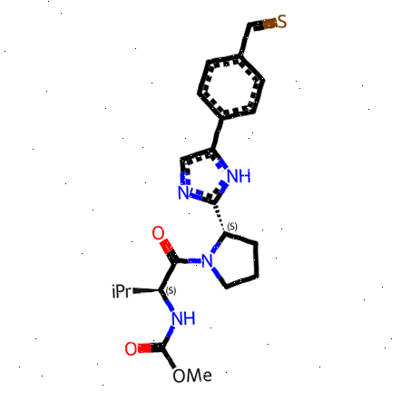 COC(=O)N[C@H](C(=O)N1CCC[C@H]1c1ncc(-c2ccc(C=S)cc2)[nH]1)C(C)C